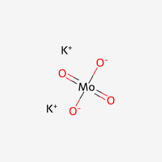 [K+].[K+].[O]=[Mo](=[O])([O-])[O-]